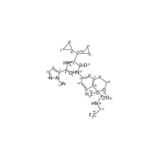 CC(C)n1nccc1C(=O)N[C@H](C(=O)Nc1ccc2c(c1)CCOC2(C)C(=O)NCC(F)(F)F)C(C1CC1)C1CC1